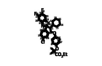 CCOC(=O)C(C)(C)Oc1ccc(OCC(C2CCCCC2)C2(c3ccc(Cl)cc3)N=c3cc(F)c(F)cc3=N2)nc1